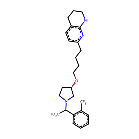 O=C(O)C(c1ccccc1C(F)(F)F)N1CC[C@@H](OCCCCc2ccc3c(n2)NCCC3)C1